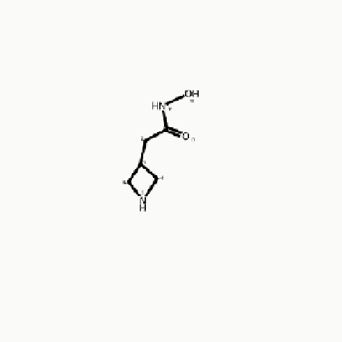 O=C(CC1CNC1)NO